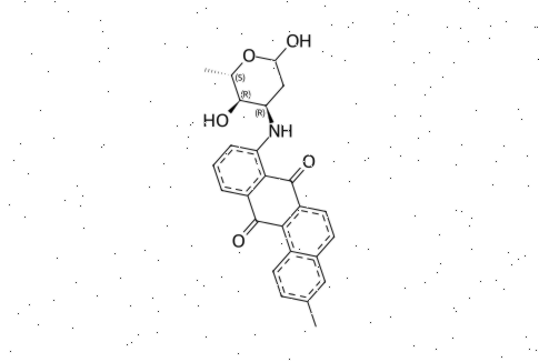 Cc1ccc2c3c(ccc2c1)C(=O)c1c(N[C@@H]2CC(O)O[C@@H](C)[C@@H]2O)cccc1C3=O